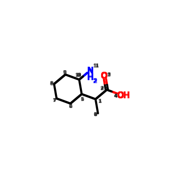 CC(C(=O)O)C1CCCCC1N